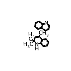 CC1=CC(C)(C)Nc2ccccc21.c1ccc2ncccc2c1